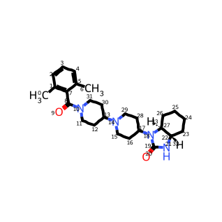 Cc1cccc(C)c1C(=O)N1CCC(N2CCC(N3C(=O)N[C@H]4CCCC[C@@H]43)CC2)CC1